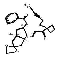 CC#CCCC1(C(=O)/C=C/[C@@H]2[C@H]3CC4(C[C@H]3C[C@H]2OC(=O)c2ccccc2)OCCO4)CCC1